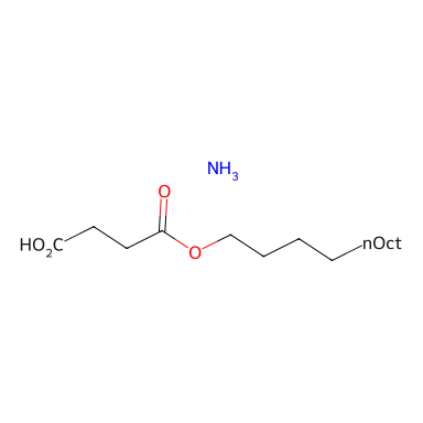 CCCCCCCCCCCCOC(=O)CCC(=O)O.N